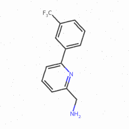 NCc1cccc(-c2cccc(C(F)(F)F)c2)n1